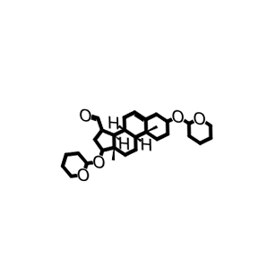 C[C@]12CCC(OC3CCCCO3)CC1=CC[C@@H]1[C@H]2CC[C@]2(C)C(OC3CCCCO3)CC(C=O)[C@@H]12